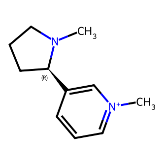 CN1CCC[C@@H]1c1ccc[n+](C)c1